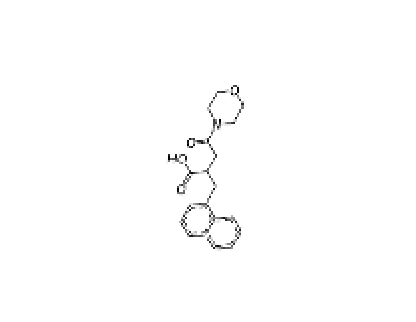 O=C(O)C(CC(=O)N1CCOCC1)Cc1cccc2ccccc12